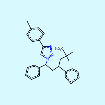 CCOC(=O)C(C)(C)CC(CC(c1ccccc1)n1cc(-c2ccc(C)cc2)nn1)c1ccccc1